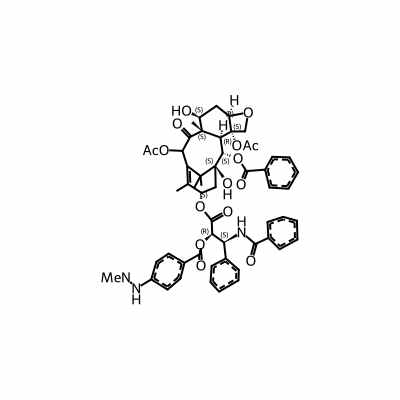 CNNc1ccc(C(=O)O[C@@H](C(=O)O[C@H]2C[C@@]3(O)[C@@H](OC(=O)c4ccccc4)[C@@H]4[C@]5(OC(C)=O)CO[C@@H]5C[C@H](O)[C@@]4(C)C(=O)C(OC(C)=O)C(=C2C)C3(C)C)[C@@H](NC(=O)c2ccccc2)c2ccccc2)cc1